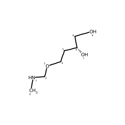 CNCOCC[C@@H](O)CO